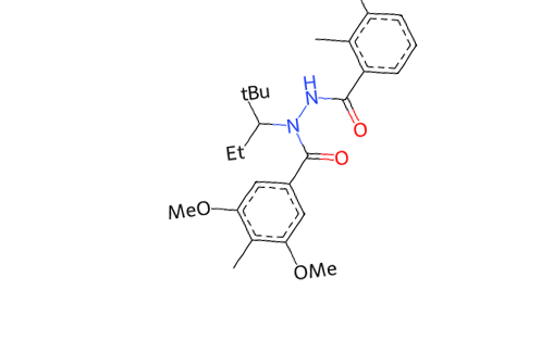 CCC(N(NC(=O)c1cccc(OC)c1C)C(=O)c1cc(OC)c(C)c(OC)c1)C(C)(C)C